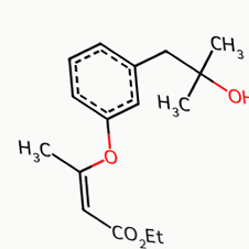 CCOC(=O)/C=C(/C)Oc1cccc(CC(C)(C)O)c1